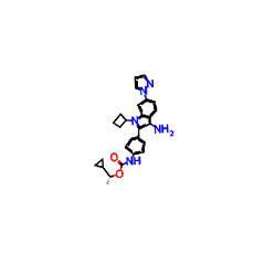 C[C@@H](OC(=O)Nc1ccc(-c2c(N)c3ccc(-n4cccn4)cc3n2C2CCC2)cc1)C1CC1